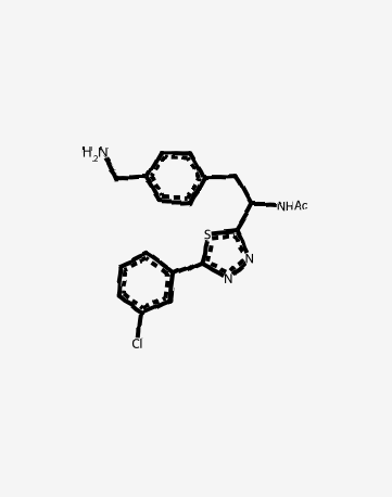 CC(=O)NC(Cc1ccc(CN)cc1)c1nnc(-c2cccc(Cl)c2)s1